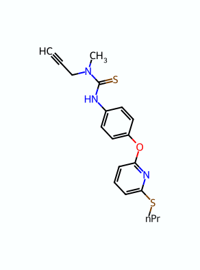 C#CCN(C)C(=S)Nc1ccc(Oc2cccc(SCCC)n2)cc1